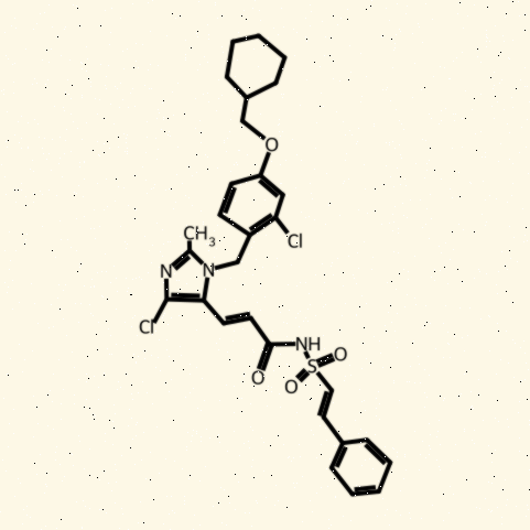 Cc1nc(Cl)c(/C=C/C(=O)NS(=O)(=O)/C=C/c2ccccc2)n1Cc1ccc(OCC2CCCCC2)cc1Cl